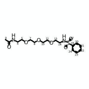 CC(=O)NCCOCCOCCOCCNS(=O)(=O)c1ccccc1